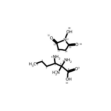 CCCC(N)C(N)(N)C(=O)O.O=C1CCC(=O)N1O